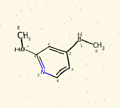 CBc1ccnc(BC)c1